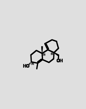 CC1=C2CC[C@@]3(CO)CCCC=C3[C@@]2(C)CC[C@H]1O